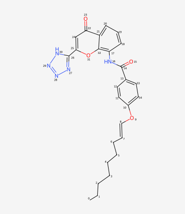 CCCCCCCC=COc1ccc(C(=O)Nc2cccc3c(=O)cc(-c4nnn[nH]4)oc23)cc1